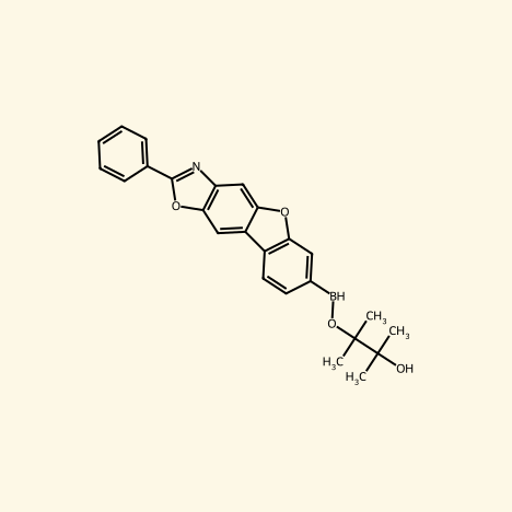 CC(C)(O)C(C)(C)OBc1ccc2c(c1)oc1cc3nc(-c4ccccc4)oc3cc12